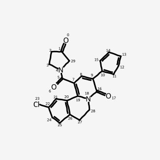 O=C1CCN(C(=O)c2cc(-c3ccccc3)c(=O)n3c2-c2cc(Cl)ccc2CC3)C1